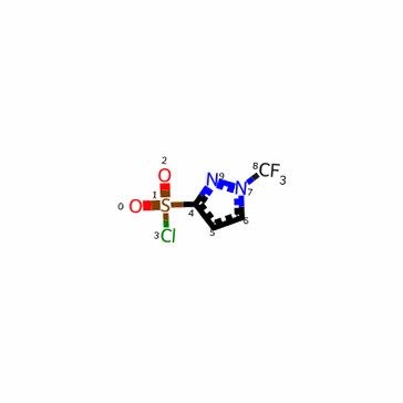 O=S(=O)(Cl)c1ccn(C(F)(F)F)n1